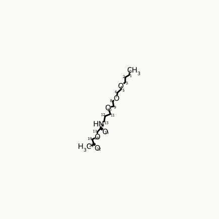 CCCCOCCOCCOCCCNC(=O)COCC(C)=O